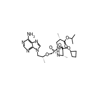 CC(C)OC(=O)[C@@H](C)CN[P@](=O)(CO[C@H](C)Cn1cnc2c(N)ncnc21)N[C@@H](C)C(=O)OC1CCC1